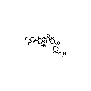 CC(C)(C)c1cc(-c2ccc(Cl)c(F)c2)nc2cc(C(=O)N3CCC(C(=O)[C@H]4CC[C@@](C)(C(=O)O)CC4)CC3(C)C)oc12